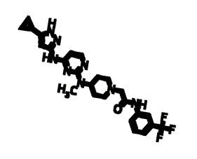 CN(c1nccc(Nc2cc(C3CC3)[nH]n2)n1)C1CCN(CC(=O)Nc2cccc(C(F)(F)F)c2)CC1